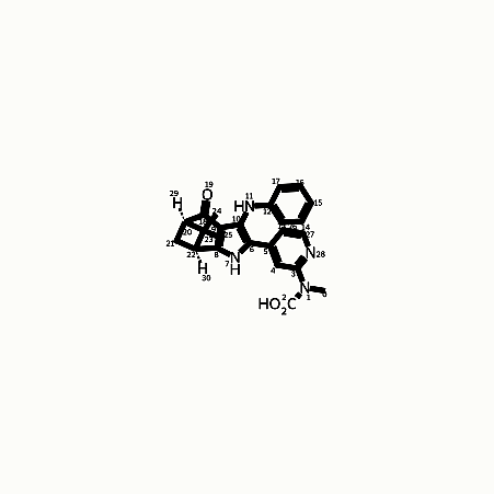 CN(C(=O)O)c1cc(-c2[nH]c3c(c2Nc2ccccc2)C(=O)[C@@H]2C[C@H]3C2(C)C)ccn1